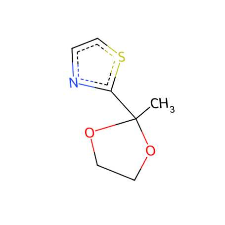 CC1(c2nccs2)OCCO1